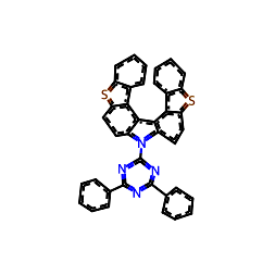 c1ccc(-c2nc(-c3ccccc3)nc(-n3c4ccc5sc6ccccc6c5c4c4c5c(ccc43)sc3ccccc35)n2)cc1